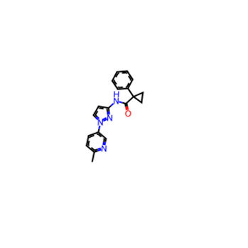 Cc1ccc(-n2ccc(NC(=O)C3(c4ccccc4)CC3)n2)cn1